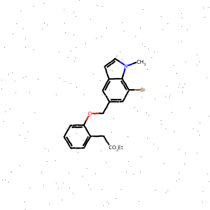 CCOC(=O)Cc1ccccc1OCc1cc(Br)c2c(ccn2C)c1